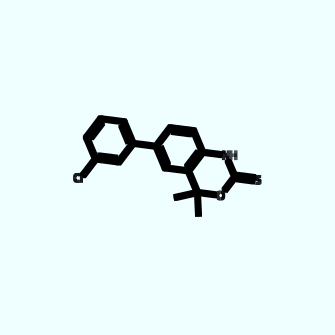 CC1(C)OC(=S)Nc2ccc(-c3cccc(Cl)c3)cc21